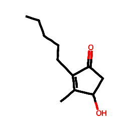 CCCCCC1=C(C)C(O)CC1=O